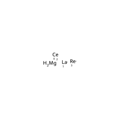 [Ce].[La].[MgH2].[Re]